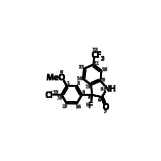 COc1cc(C2(F)C(=O)Nc3cc(C(F)(F)F)ccc32)ccc1Cl